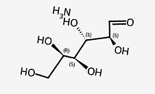 N.O=C[C@@H](O)[C@@H](O)[C@@H](O)[C@H](O)CO